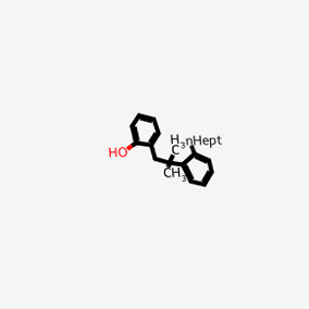 CCCCCCCc1ccccc1C(C)(C)Cc1ccccc1O